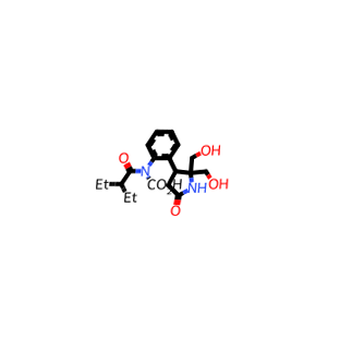 CCC(CC)C(=O)N(C(=O)O)c1ccccc1C1CC(=O)NC1(CO)CO